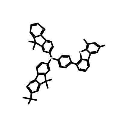 Cc1cc(C)c2oc3c(-c4ccc(N(c5ccc6c(c5)C(C)(C)c5ccccc5-6)c5ccc6c(c5)C(C)(C)c5cc(C(C)(C)C)ccc5-6)cc4)cccc3c2c1